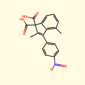 CC1=C(c2ccc([N+](=O)[O-])cc2)c2c(C)cccc2C1(C(=O)O)C(=O)O